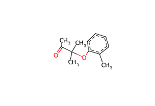 CC(=O)C(C)(C)Oc1ccccc1C